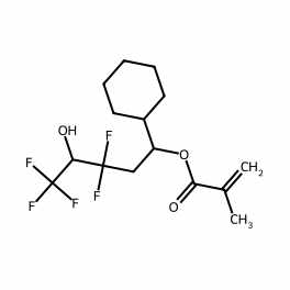 C=C(C)C(=O)OC(CC(F)(F)C(O)C(F)(F)F)C1CCCCC1